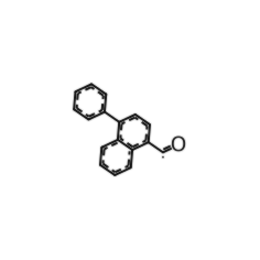 O=[C]c1ccc(-c2ccccc2)c2ccccc12